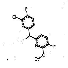 CCOc1nc(C(N)c2ccc(F)c(Cl)c2)ccc1F